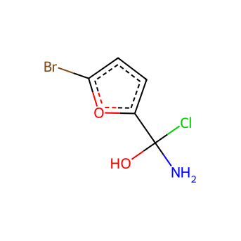 NC(O)(Cl)c1ccc(Br)o1